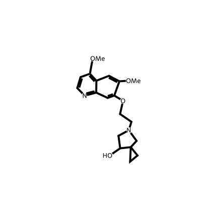 COc1cc2c(OC)ccnc2cc1OCCN1CC(O)C2(CC2)C1